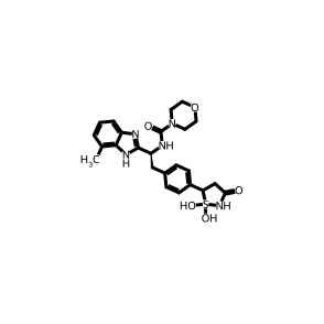 Cc1cccc2nc([C@H](Cc3ccc(C4CC(=O)NS4(O)O)cc3)NC(=O)N3CCOCC3)[nH]c12